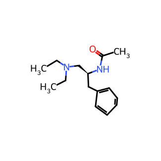 CCN(CC)C[C@H](Cc1ccccc1)NC(C)=O